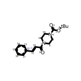 CC(C)(C)OC(=O)N1CCN(C(=O)/C=C/c2ccccc2)CC1